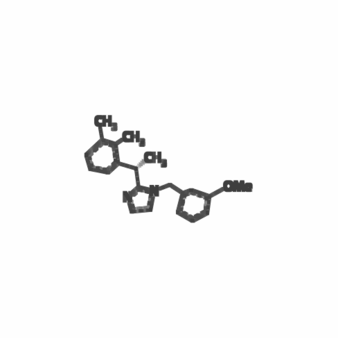 COc1cccc(Cn2ccnc2[C@@H](C)c2cccc(C)c2C)c1